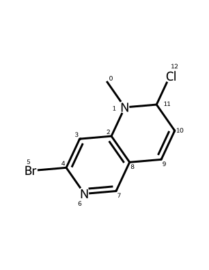 CN1c2cc(Br)ncc2C=CC1Cl